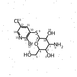 NC1C(O)C(CO)OC(Sc2cc(Cl)cnc2Br)C1O